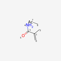 C=C(C)C(N)=O.CC(C)=O